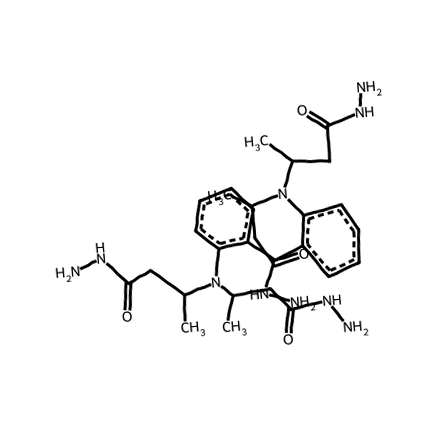 CC(CC(=O)NN)N(c1ccccc1Cc1ccccc1N(C(C)CC(=O)NN)C(C)CC(=O)NN)C(C)CC(=O)NN